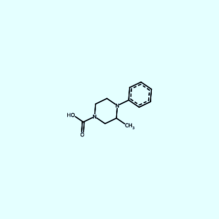 CC1CN(C(=O)O)CCN1c1ccccc1